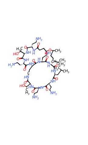 CCCC(C)OC(=O)CCC(=O)N[C@@H](CCN)C(=O)N[C@H](C(=O)N[C@@H](CCN)C(=O)N[C@H]1CCNC(=O)[C@H]([C@H](C)O)NC(=O)[C@H](CCN)NC(=O)[C@H](CCN)NC(=O)[C@H](CC(C)C)NC(=O)[C@@H](CC(C)C)NC(=O)[C@H](CCN)NC1=O)C(C)O